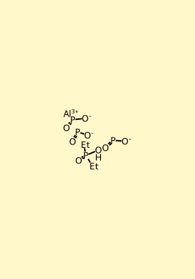 CCP(=O)(O)CC.O=P[O-].O=P[O-].O=P[O-].[Al+3]